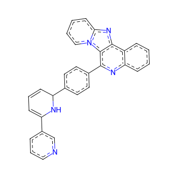 C1=CC(c2ccc(-c3nc4ccccc4c4nc5ccccn5c34)cc2)NC(c2cccnc2)=C1